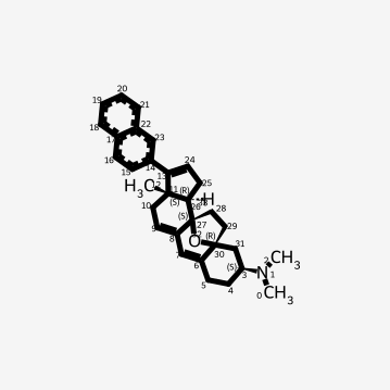 CN(C)[C@H]1CCC2=CC3=CC[C@]4(C)C(c5ccc6ccccc6c5)=CC[C@H]4[C@@]34CC[C@]2(C1)O4